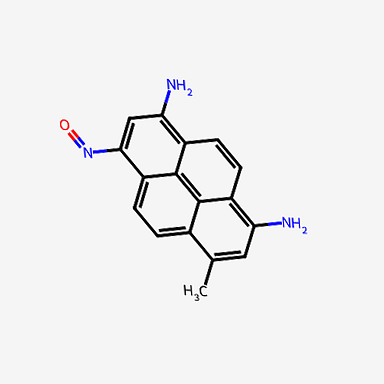 Cc1cc(N)c2ccc3c(N)cc(N=O)c4ccc1c2c34